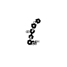 O=P(O)(O)Cc1ccccc1-[n+]1ccc(-c2cc[n+](-c3ccc(Oc4ccccc4)cc3)cc2)cc1.[Cl-].[Cl-]